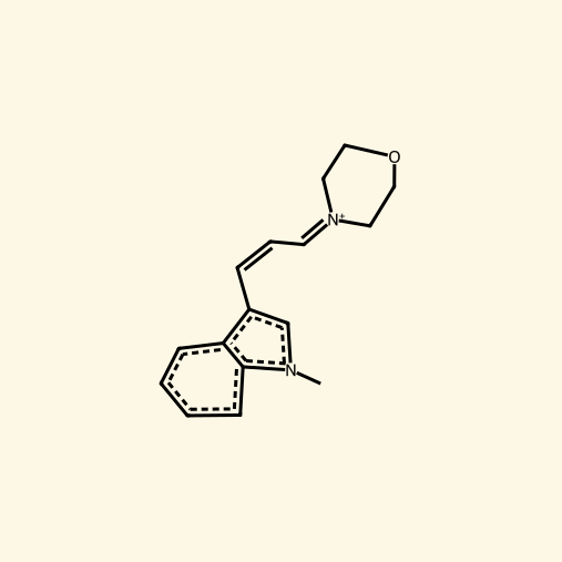 Cn1cc(/C=C\C=[N+]2CCOCC2)c2ccccc21